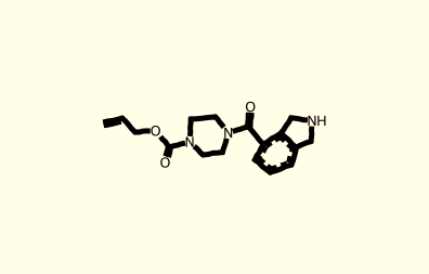 C=CCOC(=O)N1CCN(C(=O)c2cccc3c2CNC3)CC1